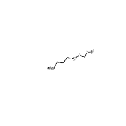 CCCCCCCCCCSSCCCCCCCC